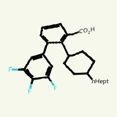 CCCCCCCC1CCC(c2c(C(=O)O)cccc2-c2cc(F)c(F)c(F)c2)CC1